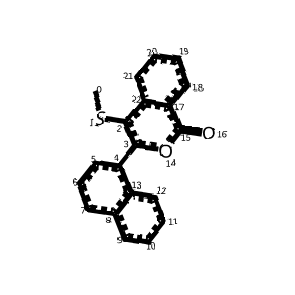 CSc1c(-c2cccc3ccccc23)oc(=O)c2ccccc12